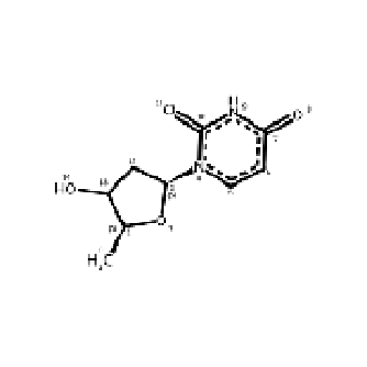 C[C@@H]1O[C@H](n2ccc(=O)[nH]c2=O)CC1O